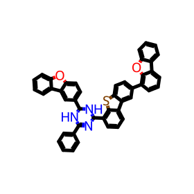 c1ccc(C2=NC(c3cccc4c3sc3ccc(-c5cccc6c5oc5ccccc56)cc34)NC(c3ccc4oc5ccccc5c4c3)N2)cc1